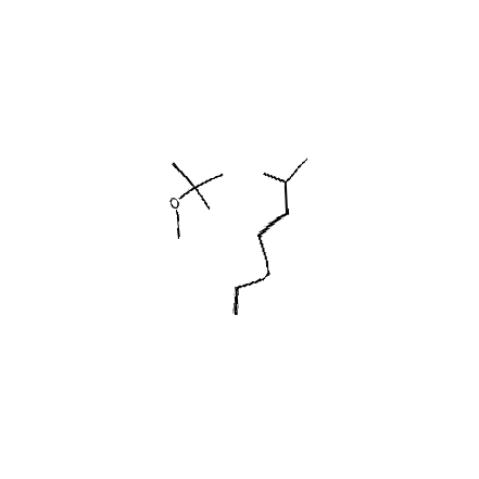 CCCCCC(C)C.COC(C)(C)C